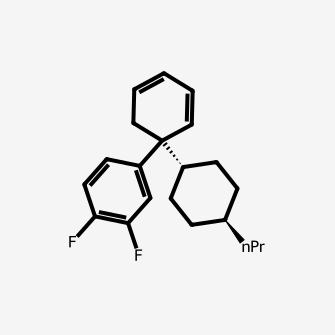 CCC[C@H]1CC[C@H](C2(c3ccc(F)c(F)c3)C=CC=CC2)CC1